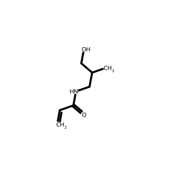 C=CC(=O)NCC(C)CO